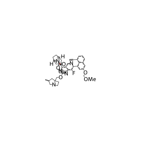 C#Cc1cccc2cc(OCOC)cc(-c3ncc4c(N5C[C@H]6CC[C@@H](C5)N6C(=O)OC(C)(C)C)nc(OCC56CCN5CC(=C)C6)nc4c3F)c12